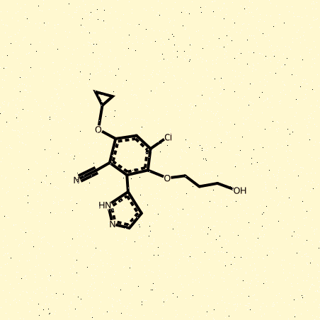 N#Cc1c(OC2CC2)cc(Cl)c(OCCCO)c1-c1ccn[nH]1